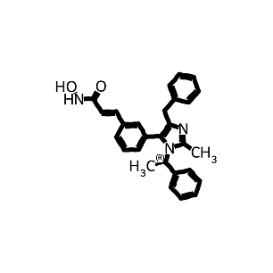 Cc1nc(Cc2ccccc2)c(-c2cccc(C=CC(=O)NO)c2)n1[C@H](C)c1ccccc1